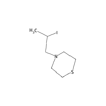 CC(I)CN1CCSCC1